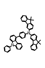 CC1(C)c2ccccc2-c2cc(N(c3ccc(-c4cccc5c4c4ccccc4n5-c4ccccc4)cc3)c3ccc4c(c3)-c3ccccc3C4(C)C)ccc21